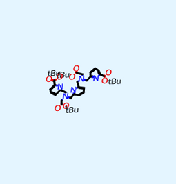 CC(C)(C)OC(=O)CN(Cc1cccc(CN(CC(=O)OC(C)(C)C)Cc2cccc(C(=O)OC(C)(C)C)n2)n1)Cc1cccc(C(=O)OC(C)(C)C)n1